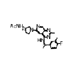 CC(=O)N[C@@H]1CCN(c2cc3c(N[C@H](C)c4ccc(F)c(C)c4)nc(C)nc3cn2)C1